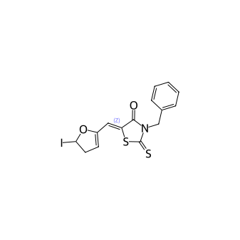 O=C1/C(=C/C2=CCC(I)O2)SC(=S)N1Cc1ccccc1